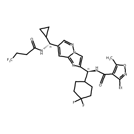 CCc1noc(C)c1C(=O)N[C@H](c1cn2ncc([C@H](NC(=O)CCC(F)(F)F)C3CC3)cc2n1)C1CCC(F)(F)CC1